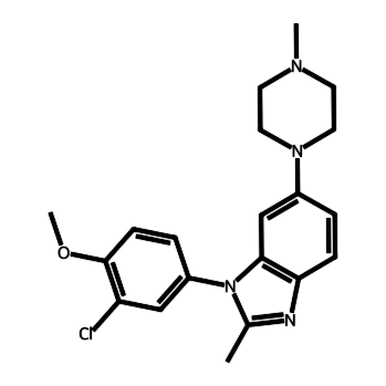 COc1ccc(-n2c(C)nc3ccc(N4CCN(C)CC4)cc32)cc1Cl